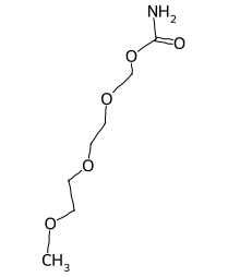 COCCOCCOCOC(N)=O